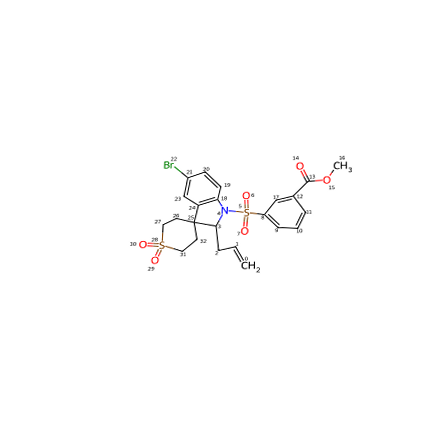 C=CCC1N(S(=O)(=O)c2cccc(C(=O)OC)c2)c2ccc(Br)cc2C12CCS(=O)(=O)CC2